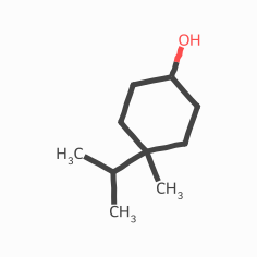 CC(C)C1(C)CCC(O)CC1